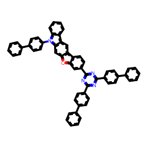 c1ccc(-c2ccc(-c3nc(-c4ccc(-c5ccccc5)cc4)nc(-c4ccc5c(c4)oc4cc6c(cc45)c4ccccc4n6-c4ccc(-c5ccccc5)cc4)n3)cc2)cc1